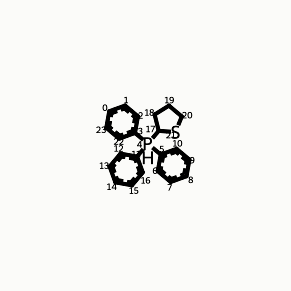 c1ccc([PH](c2ccccc2)(c2ccccc2)C2CCCS2)cc1